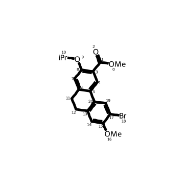 COC(=O)c1cc2c(cc1OC(C)C)CCc1cc(OC)c(Br)cc1-2